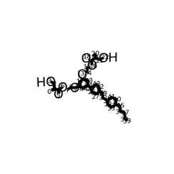 C=C(CO)C(=O)OCCOc1cc(OCCOC(=O)C(=C)CO)cc(-c2ccc(CCc3ccc(CCCCC)cc3)cc2)c1